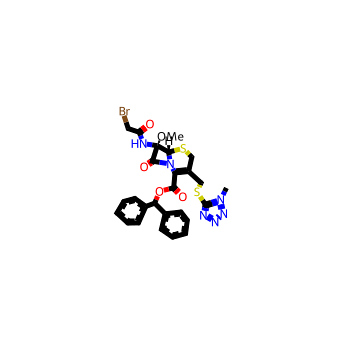 CO[C@@]1(NC(=O)CBr)C(=O)N2C(C(=O)OC(c3ccccc3)c3ccccc3)=C(CSc3nnnn3C)CS[C@H]21